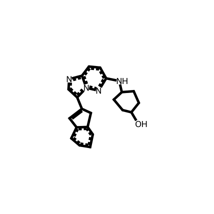 OC1CCC(Nc2ccc3ncc(C4=Cc5ccccc5C4)n3n2)CC1